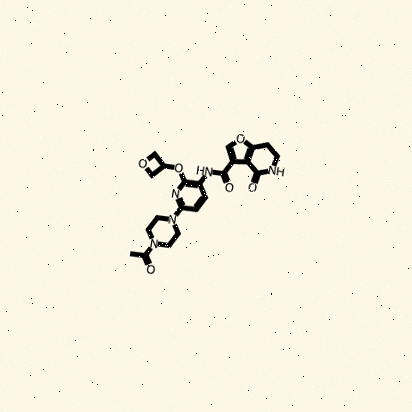 CC(=O)N1CCN(c2ccc(NC(=O)c3coc4c3C(=O)NCC4)c(OC3COC3)n2)CC1